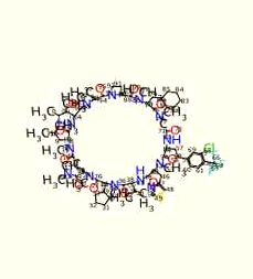 CC[C@H](C)[C@@H]1NC(=O)[C@H](CC(C)C)N(C)C(=O)C[C@@H](C(=O)N(C)C)N(C)C(=O)[C@H](C2CCCC2)N(C)C(=O)[C@H](C(C)C)NC(=O)[C@H](Cc2cscn2)N(C)C(=O)[C@H](CCc2ccc(C(F)(F)F)c(Cl)c2)NC(=O)CN(C)C(=O)[C@H](CC2CCCCC2)N(C)C(=O)[C@@H]2CCN2C(=O)[C@H](C)N(C)C1=O